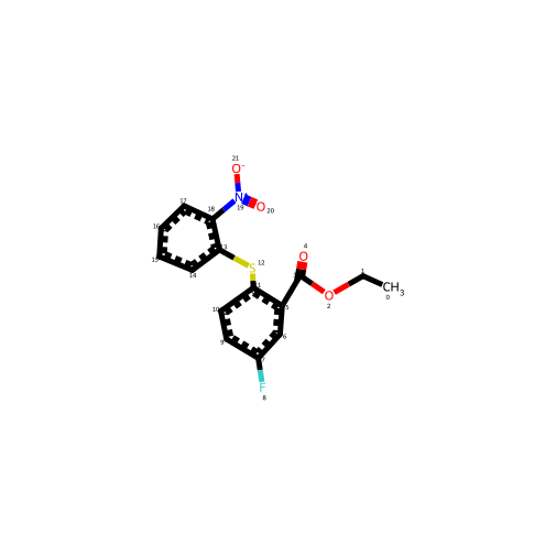 CCOC(=O)c1cc(F)ccc1Sc1ccccc1[N+](=O)[O-]